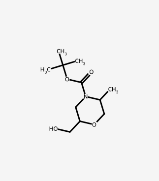 CC1COC(CO)CN1C(=O)OC(C)(C)C